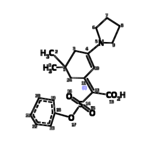 CC1(C)CC(N2CCCC2)=C/C(=C(\C(=O)O)S(=O)(=O)Oc2ccccc2)C1